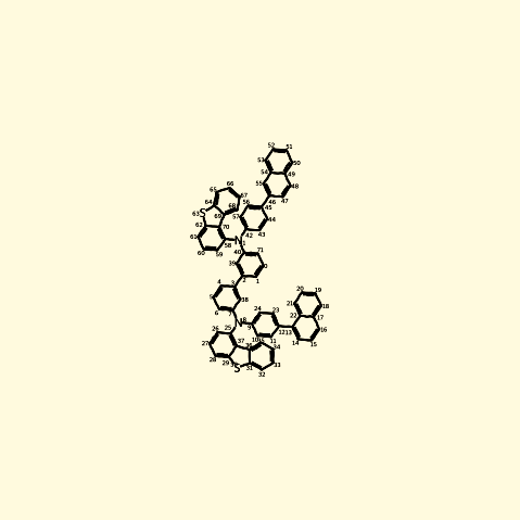 c1cc(-c2cccc(N(c3ccc(-c4cccc5ccccc45)cc3)c3cccc4sc5ccccc5c34)c2)cc(N(c2ccc(-c3ccc4ccccc4c3)cc2)c2cccc3sc4ccccc4c23)c1